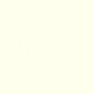 C#C/C=c1/ccn(C2CC2N(C)C)/c1=C/C